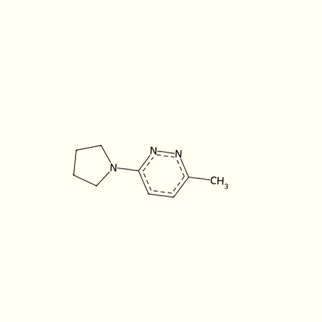 Cc1ccc(N2CCCC2)nn1